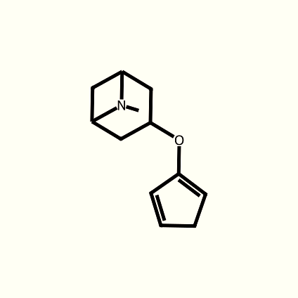 CN1C2CC(OC3=CCC=C3)CC1C2